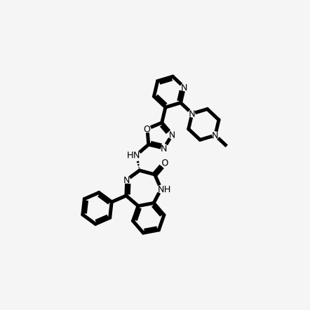 CN1CCN(c2ncccc2-c2nnc(N[C@H]3N=C(c4ccccc4)c4ccccc4NC3=O)o2)CC1